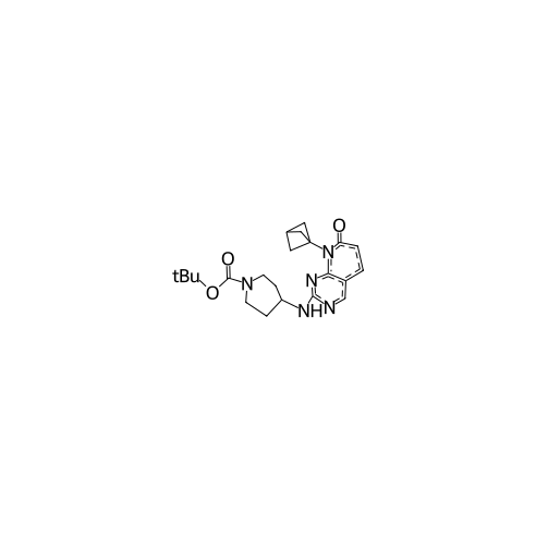 CC(C)(C)OC(=O)N1CCC(Nc2ncc3ccc(=O)n(C45CC(C4)C5)c3n2)CC1